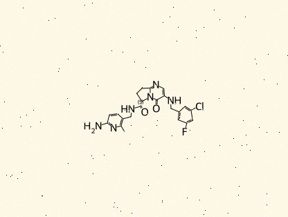 Cc1nc(N)ccc1CNC(=O)[C@@H]1CCc2ncc(NCc3cc(F)cc(Cl)c3)c(=O)n21